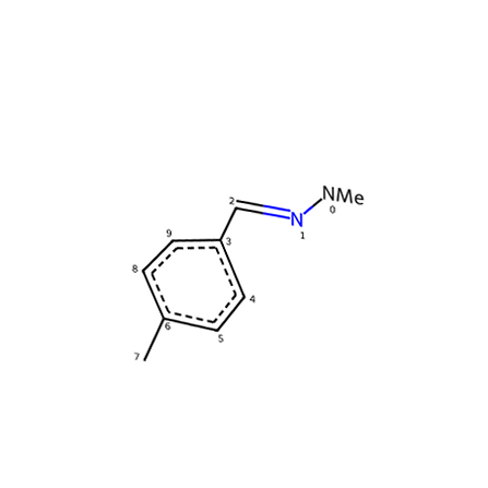 CN/N=C/c1ccc(C)cc1